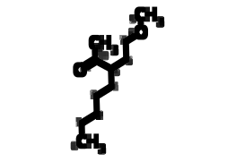 CCCCCC(CCOC)C(C)=O